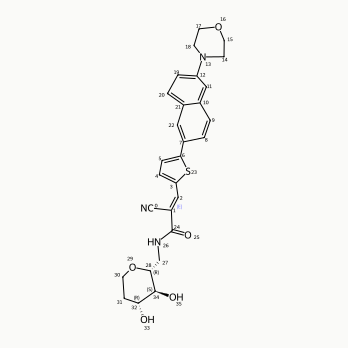 N#C/C(=C\c1ccc(-c2ccc3cc(N4CCOCC4)ccc3c2)s1)C(=O)NC[C@H]1OCC[C@@H](O)[C@@H]1O